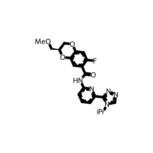 COC[C@H]1COc2cc(F)c(C(=O)Nc3cccc(-c4nncn4C(C)C)n3)cc2O1